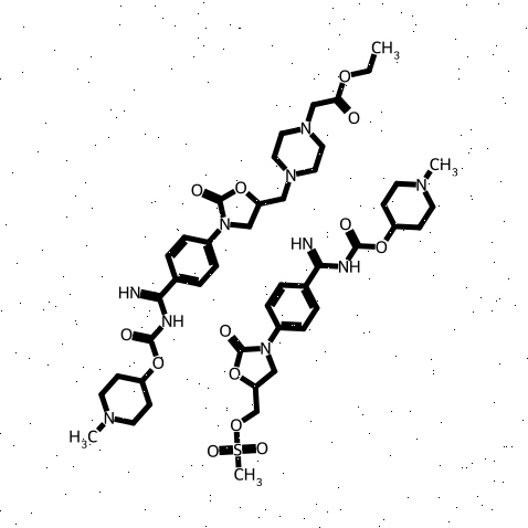 CCOC(=O)CN1CCN(CC2CN(c3ccc(C(=N)NC(=O)OC4CCN(C)CC4)cc3)C(=O)O2)CC1.CN1CCC(OC(=O)NC(=N)c2ccc(N3CC(COS(C)(=O)=O)OC3=O)cc2)CC1